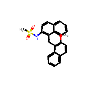 COc1ccc2ccccc2c1Cc1c(NS(C)(=O)=O)ccc2ccccc12